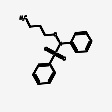 CCCCON(c1ccccc1)S(=O)(=O)c1ccccc1